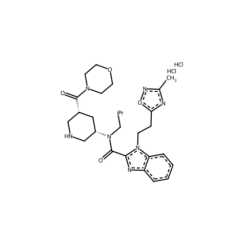 Cc1noc(CCn2c(C(=O)N(CC(C)C)[C@@H]3CNC[C@H](C(=O)N4CCOCC4)C3)nc3ccccc32)n1.Cl.Cl